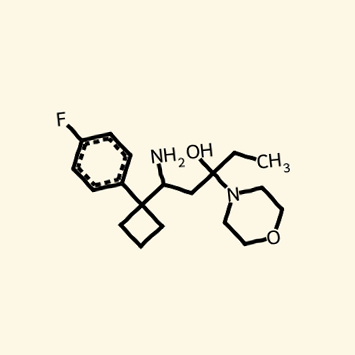 CCC(O)(CC(N)C1(c2ccc(F)cc2)CCC1)N1CCOCC1